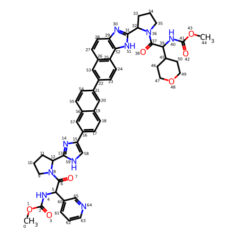 COC(=O)NC(C(=O)N1CCCC1c1nc(-c2ccc3cc(-c4ccc5c(ccc6nc(C7CCCN7C(=O)C(NC(=O)OC)C7CCOCC7)[nH]c65)c4)ccc3c2)c[nH]1)c1cccnc1